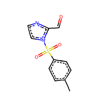 Cc1ccc(S(=O)(=O)n2ccnc2C=O)cc1